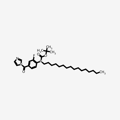 CCCCCCCCCCCCCCCCN(C(=O)OC(C)(C)C)c1ccc(C(=O)n2ccnc2)cc1F